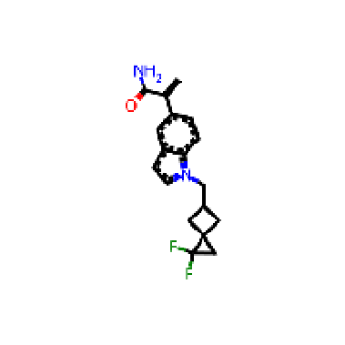 C=C(C(N)=O)c1ccc2c(ccn2CC2CC3(C2)CC3(F)F)c1